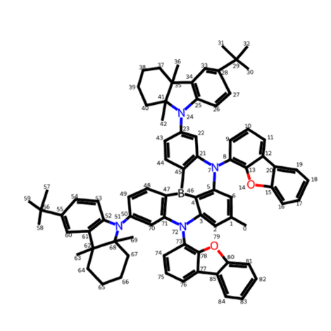 Cc1cc2c3c(c1)N(c1cccc4c1oc1ccccc14)c1cc(N4c5ccc(C(C)(C)C)cc5C5(C)CCCCC45C)ccc1B3c1ccc(N3c4ccc(C(C)(C)C)cc4C4(C)CCCCC34C)cc1N2c1cccc2c1oc1ccccc12